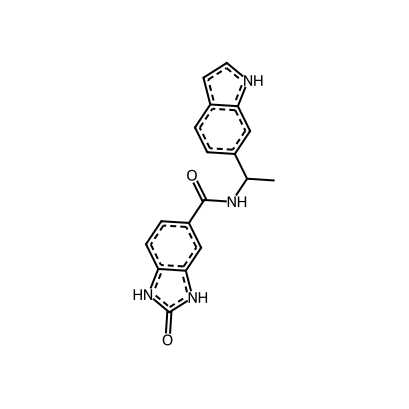 CC(NC(=O)c1ccc2[nH]c(=O)[nH]c2c1)c1ccc2cc[nH]c2c1